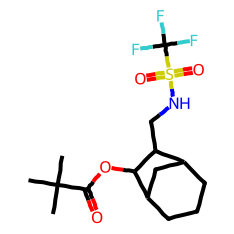 CC(C)(C)C(=O)OC1C2CCCC(C2)C1CNS(=O)(=O)C(F)(F)F